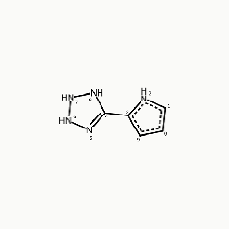 c1c[nH]c(C2=NNNN2)c1